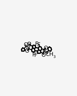 CC(c1ccccc1)N1C(=O)c2cc(F)c3c4c(F)cc5c6c(cc(F)c(c7c(F)cc(c2c37)C1=O)c64)C(=O)N(C(C)c1ccccc1)C5=O